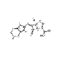 O=C(O)C1=CS[C@@H]2C(=Cc3cc4n(n3)CCOC4)C(=O)N12